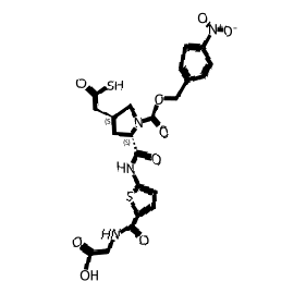 O=C(O)CNC(=O)c1ccc(NC(=O)[C@@H]2C[C@@H](CC(=O)S)CN2C(=O)OCc2ccc([N+](=O)[O-])cc2)s1